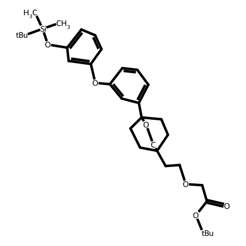 CC(C)(C)OC(=O)COCCC12CCC(c3cccc(Oc4cccc(O[Si](C)(C)C(C)(C)C)c4)c3)(CC1)OC2